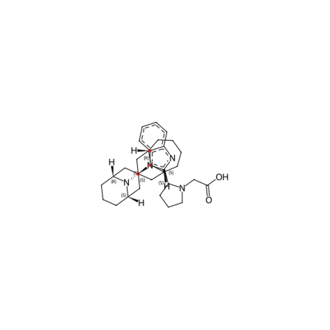 O=C(O)CN1CCC[C@H]1c1nc2ccccc2n1[C@@H]1C[C@H]2CCC[C@@H](C1)N2[C@@H]1C[C@@H]2CCCC[C@@H](C2)C1